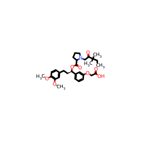 CCC(C)(C)C(=O)CN1CCCC1C(=O)O[C@H](CCc1ccc(OC)c(OC)c1)c1cccc(OCC(=O)O)c1